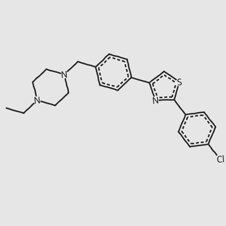 CCN1CCN(Cc2ccc(-c3csc(-c4ccc(Cl)cc4)n3)cc2)CC1